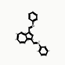 C(=N\c1ccccc1)/c1cc(/C=N/c2ccccc2)c2cccccc1-2